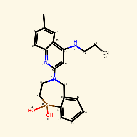 Cc1ccc2nc(N3CCS(O)(O)c4ccccc4C3)cc(NCCC#N)c2c1